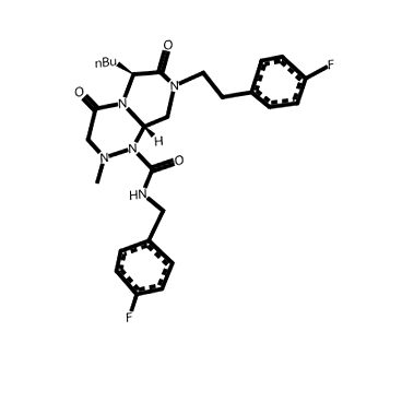 CCCC[C@H]1C(=O)N(CCc2ccc(F)cc2)C[C@H]2N1C(=O)CN(C)N2C(=O)NCc1ccc(F)cc1